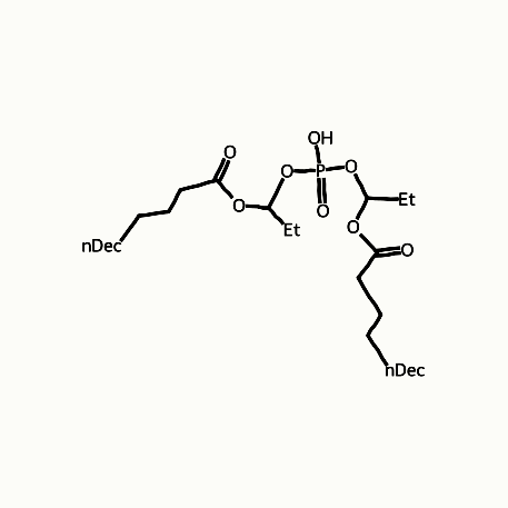 CCCCCCCCCCCCCC(=O)OC(CC)OP(=O)(O)OC(CC)OC(=O)CCCCCCCCCCCCC